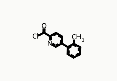 Cc1ccccc1-c1ccc(C(=O)Cl)nc1